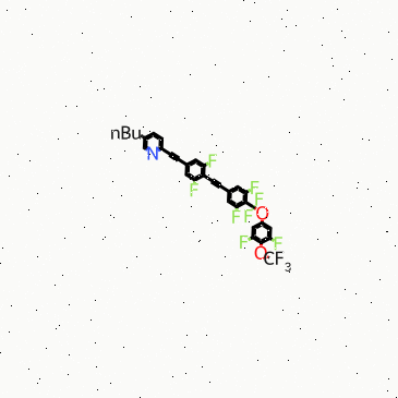 CCCCc1ccc(C#Cc2cc(F)c(C#Cc3cc(F)c(C(F)(F)Oc4cc(F)c(OC(F)(F)F)c(F)c4)c(F)c3)c(F)c2)nc1